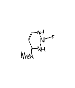 CN[C]1C=CNN(F)N1